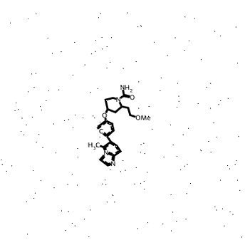 COCCC1CC(Oc2ccc(-c3ccc4nccn4c3C)cc2)CCN1C(N)=O